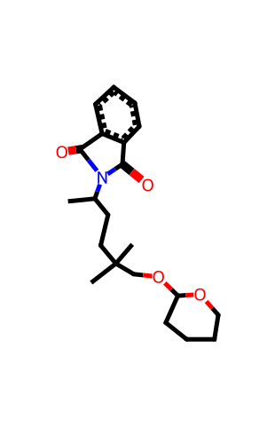 CC(CCC(C)(C)COC1CCCCO1)N1C(=O)c2ccccc2C1=O